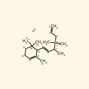 C=CC[N+](C)(C)C(C)C=CC1C(C)=CCCC1(C)C.[I-]